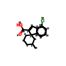 CC1CCC[C@@]2(C1)C(C(=O)O)=Cc1c(Cl)cccc12